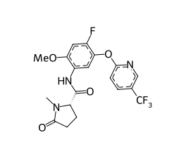 COc1cc(F)c(Oc2ccc(C(F)(F)F)cn2)cc1NC(=O)[C@@H]1CCC(=O)N1C